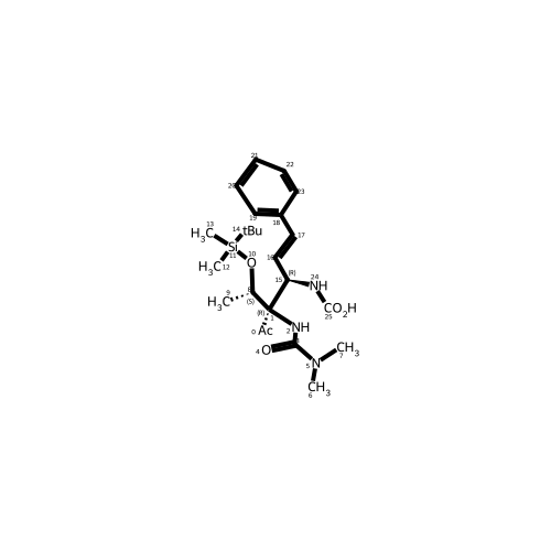 CC(=O)[C@](NC(=O)N(C)C)([C@H](C)O[Si](C)(C)C(C)(C)C)[C@@H](C=Cc1ccccc1)NC(=O)O